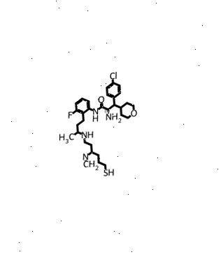 C=NC(CCCS)CCNC(C)CCc1c(F)cccc1NC(=O)[C@@H](N)C(c1ccc(Cl)cc1)C1CCOCC1